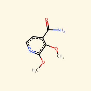 COc1nccc(C(N)=O)c1OC